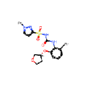 CC(C)c1cccc(O[C@@H]2CCOC2)c1NC(=O)NS(=O)(=O)c1ccn(C(C)C)n1